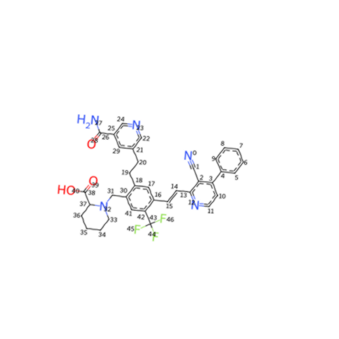 N#Cc1c(-c2ccccc2)ccnc1/C=C/c1cc(CCc2cncc(C(N)=O)c2)c(CN2CCCCC2C(=O)O)cc1C(F)(F)F